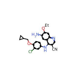 CCOc1cc2ncc(C#N)c(Nc3ccc(OCC4CC4)c(Cl)c3)c2cc1N